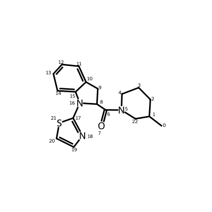 CC1CCCN(C(=O)C2Cc3ccccc3N2c2nccs2)C1